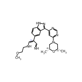 COCCN/C=C(\C=N)c1ccc2[nH]nc(-c3cc(N4C[C@@H](C)O[C@@H](C)C4)ncn3)c2c1